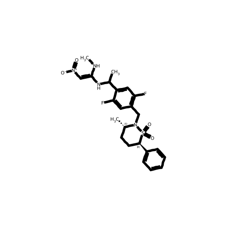 CNC(=C[N+](=O)[O-])NC(C)c1cc(F)c(CN2[C@@H](C)CC[C@H](c3ccccc3)S2(=O)=O)cc1F